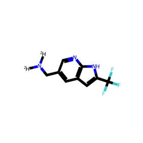 [2H]N([2H])Cc1cnc2[nH]c(C(F)(F)F)cc2c1